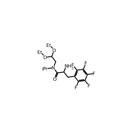 CCOC(CN(C(=O)C(N)Cc1c(F)c(F)c(F)c(F)c1F)C(C)C)OCC